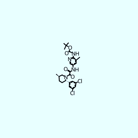 Cc1cc(NC(=O)C(=O)N2C[C@H](C)CC[C@H]2c2cc(Cl)cc(Cl)c2)cnc1NC(=O)OC(C)(C)C